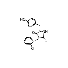 O=C1NN(Cc2ccc(O)cc2)C(=O)C1Sc1ccccc1Cl